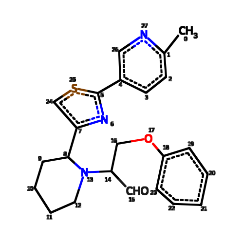 Cc1ccc(-c2nc(C3CCCCN3C(C=O)COc3ccccc3)cs2)cn1